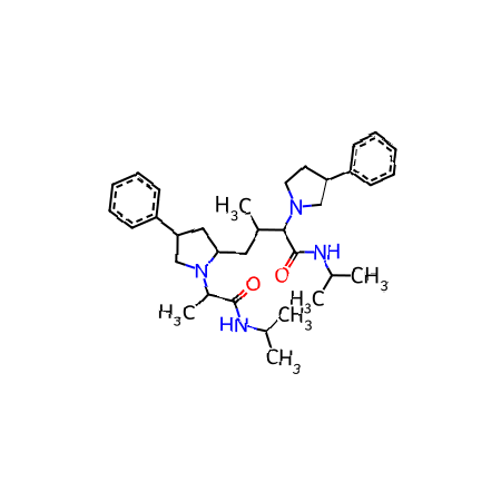 CC(C)NC(=O)C(C(C)CC1CC(c2ccccc2)CN1C(C)C(=O)NC(C)C)N1CCC(c2ccccc2)C1